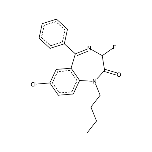 CCCCN1C(=O)C(F)N=C(c2ccccc2)c2cc(Cl)ccc21